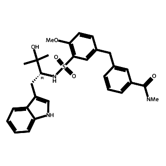 CNC(=O)c1cccc(Cc2ccc(OC)c(S(=O)(=O)N[C@H](Cc3c[nH]c4ccccc34)C(C)(C)O)c2)c1